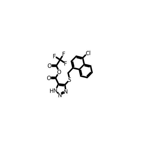 O=C(OC(=O)C(F)(F)F)c1[nH]nnc1SCc1ccc(Cl)c2ccccc12